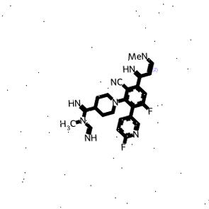 CN/C=C\C(=N)c1cc(F)c(-c2ccc(F)nc2)c(N2CCC(C(=N)N(C)C=N)CC2)c1C#N